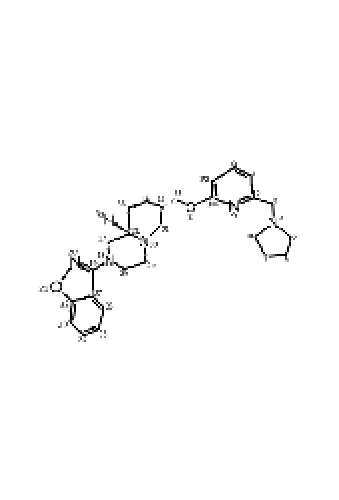 c1cc(CN2CCCC2)nc(OC[C@H]2CC[C@H]3CN(c4noc5ccccc45)CCN3C2)c1